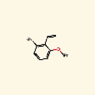 C=Cc1c(OC(C)C)cccc1[C](C)C